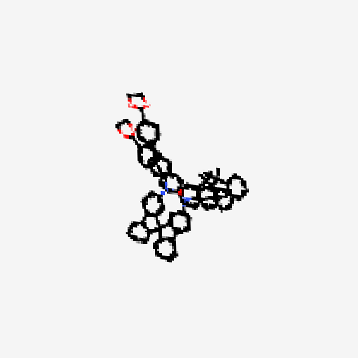 CC1(C)c2ccccc2-c2ccc(N(c3ccc(-c4ccc(C5OCCO5)cc4)cc3)c3ccc4c(c3)C3(c5ccccc5-4)c4ccccc4-c4ccc(N(c5ccc(-c6ccc(C7OCCO7)cc6)cc5)c5ccc6c(c5)C(C)(C)c5ccccc5-6)cc43)cc21